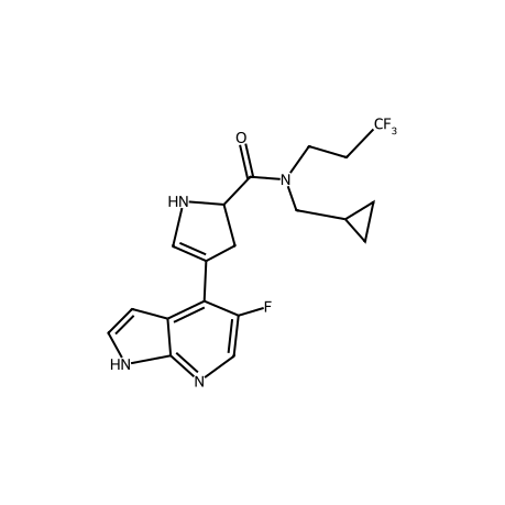 O=C(C1CC(c2c(F)cnc3[nH]ccc23)=CN1)N(CCC(F)(F)F)CC1CC1